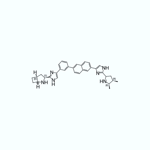 C[C@@H]1CC(c2nc(-c3ccc4cc(-c5cccc(-c6c[nH]c([C@@H]7C[C@H]8CC[C@H]8N7)n6)c5)ccc4c3)c[nH]2)N[C@@H]1C